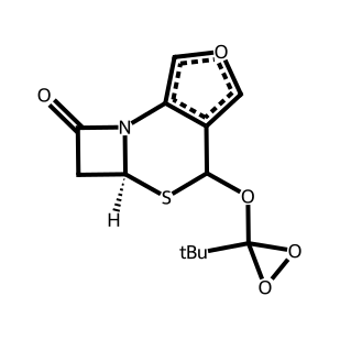 CC(C)(C)C1(OC2S[C@H]3CC(=O)N3c3cocc32)OO1